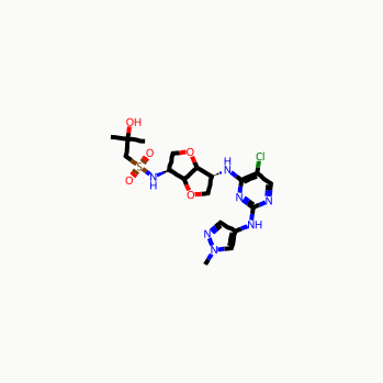 Cn1cc(Nc2ncc(Cl)c(N[C@@H]3COC4C3OC[C@@H]4NS(=O)(=O)CC(C)(C)O)n2)cn1